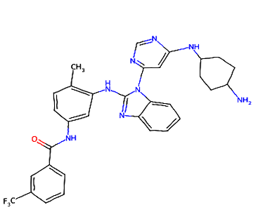 Cc1ccc(NC(=O)c2cccc(C(F)(F)F)c2)cc1Nc1nc2ccccc2n1-c1cc(NC2CCC(N)CC2)ncn1